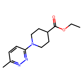 CCOC(=O)C1CCN(c2ccc(C)nn2)CC1